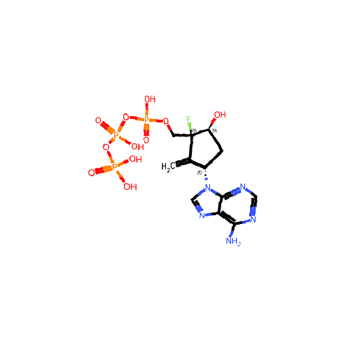 C=C1[C@@H](n2cnc3c(N)ncnc32)C[C@H](O)[C@@]1(F)COP(=O)(O)OP(=O)(O)OP(=O)(O)O